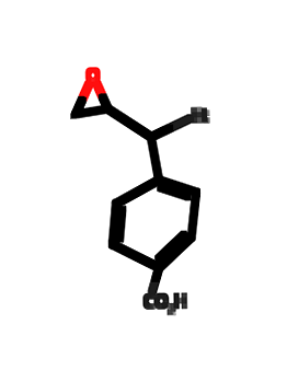 CCC(c1ccc(C(=O)O)cc1)C1CO1